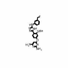 CSc1cc(Oc2cc(N)nc(N)n2)ccc1-c1nnc(Nc2cccc(CF)c2)[nH]1